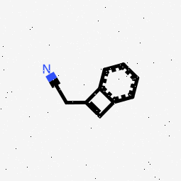 N#CCC1=Cc2ccccc21